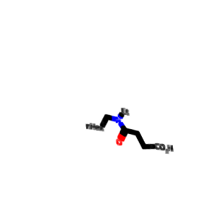 CCCCCCCN(CC)C(=O)CCC(=O)O